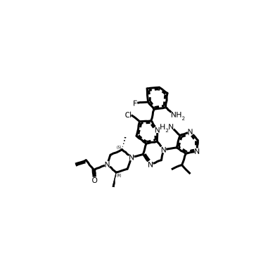 C=CC(=O)N1C[C@H](C)N(C2=NCN(c3c(N)ncnc3C(C)C)c3nc(-c4c(N)cccc4F)c(Cl)cc32)C[C@H]1C